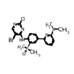 CN(C)c1cccc(-c2ccc(Nc3nc(Cl)ncc3Br)c(P(C)(C)=O)c2)n1